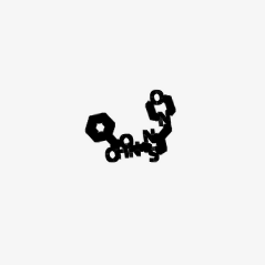 O=C(ONc1nc(CN2CCOCC2)cs1)c1ccccc1